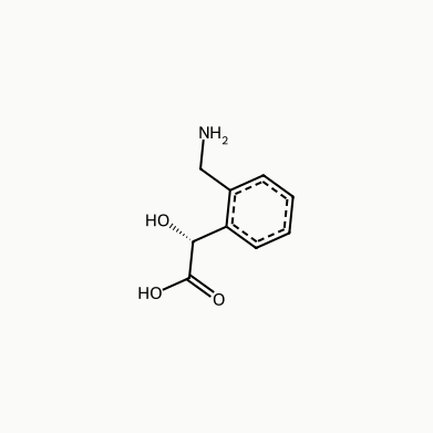 NCc1ccccc1[C@@H](O)C(=O)O